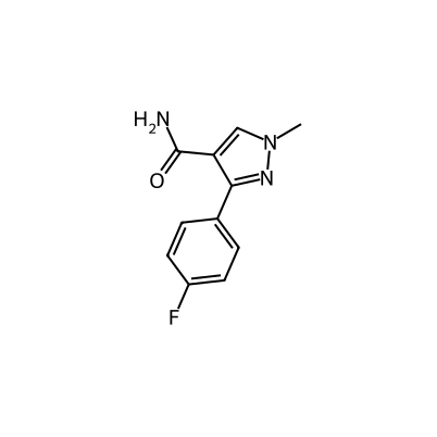 Cn1cc(C(N)=O)c(-c2ccc(F)cc2)n1